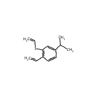 C=CSc1cc(C(C)C)ccc1C=C